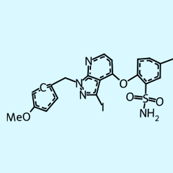 COc1ccc(Cn2nc(I)c3c(Oc4ccc(C)cc4S(N)(=O)=O)ccnc32)cc1